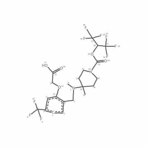 CN(Cc1ccc(C(F)(F)F)cc1OCC(=O)O)C1(C)CCN(C(=O)OC(C(F)(F)F)C(F)(F)F)CC1